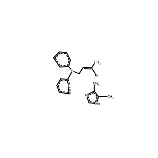 CC(Br)=CCB(c1ccccc1)c1ccccc1.Cc1nc[nH]c1C